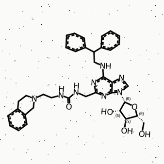 O=C(NCCN1CCc2ccccc2C1)NCc1nc(NCC(c2ccccc2)c2ccccc2)c2ncn([C@@H]3O[C@H](CO)[C@@H](O)[C@@H]3O)c2n1